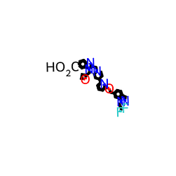 O=C(O)c1ccc2nc(CN3CCC(c4cccc(OCc5ccc6cnn(CC(F)F)c6c5)n4)CC3)n(CC3CCO3)c2c1